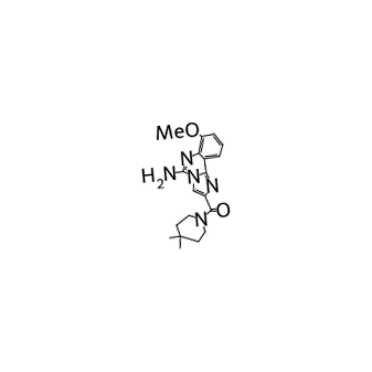 COc1cccc2c1nc(N)n1cc(C(=O)N3CCC(C)(C)CC3)nc21